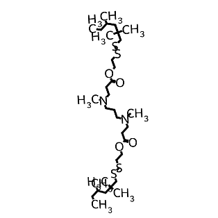 CCC(C)CC(C)(C)CSSCCOC(=O)CCN(C)CCCN(C)CCC(=O)OCCSSCC(C)(C)CC(C)CC